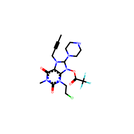 CC#CCN1c2c(n(CCCl)c(=O)n(C)c2=O)N(OC(=O)C(F)(F)F)C1N1CCNCC1